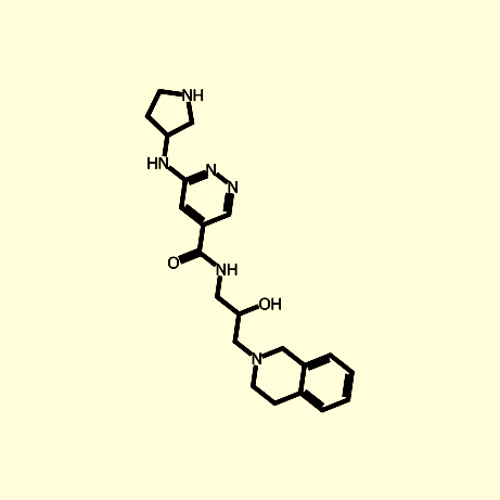 O=C(NCC(O)CN1CCc2ccccc2C1)c1cnnc(NC2CCNC2)c1